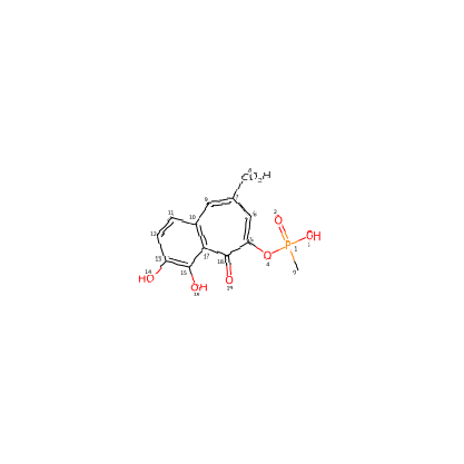 CP(=O)(O)Oc1cc(C(=O)O)cc2ccc(O)c(O)c2c1=O